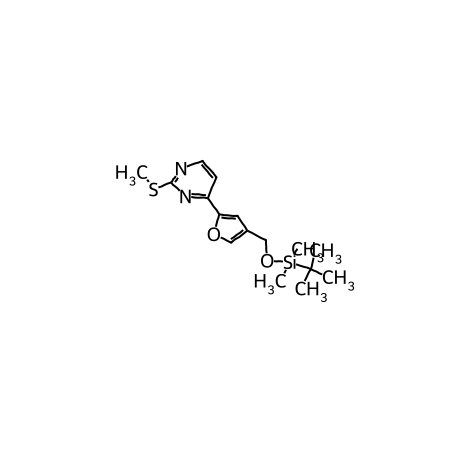 CSc1nccc(-c2cc(CO[Si](C)(C)C(C)(C)C)co2)n1